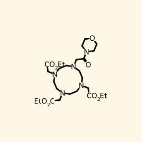 CCOC(=O)CN1CCN(CC(=O)OCC)CCN(CC(=O)N2CCOCC2)CCN(CC(=O)OCC)CC1